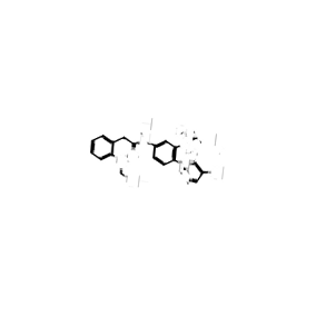 CCOc1ccccc1CC(=O)Nc1ccc(-n2cc(Cl)cn2)c(S(N)(=O)=O)c1